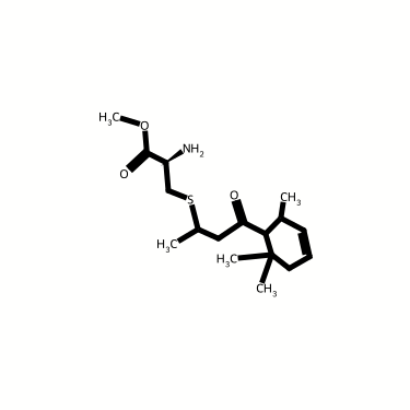 COC(=O)[C@@H](N)CSC(C)CC(=O)C1C(C)C=CCC1(C)C